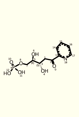 O=C(C[C@H](O)[C@H](O)COP(=O)(O)O)c1ccccn1